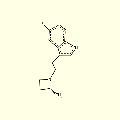 C[C@H]1CCN1CCc1c[nH]c2ncc(F)cc12